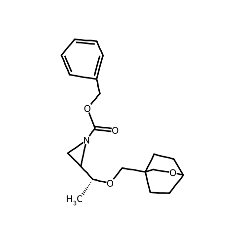 C[C@@H](OCC12CCC(CC1)OC2)C1CN1C(=O)OCc1ccccc1